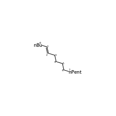 CCCCC=CCCCCCCCCC